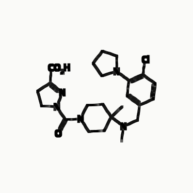 CN(Cc1ccc(Cl)c(N2CCCC2)c1)C1(C)CCN(C(=O)N2CCC(C(=O)O)=N2)CC1